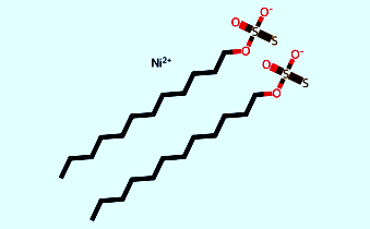 CCCCCCCCCCCCOS(=O)([O-])=S.CCCCCCCCCCCCOS(=O)([O-])=S.[Ni+2]